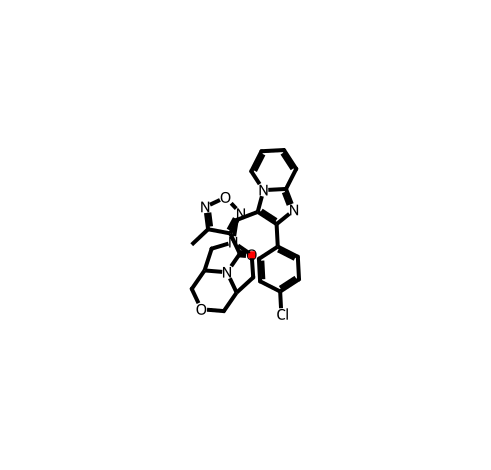 Cc1nonc1C(=O)N1C2CCN(Cc3c(-c4ccc(Cl)cc4)nc4ccccn34)CC1COC2